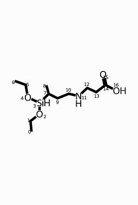 CCO[SiH](OCC)C(C)CCNCCC(=O)O